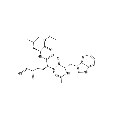 CC(=O)N[C@@H](Cc1c[nH]c2ccccc12)C(=O)N[C@@H](CCC(=O)C=N)C(=O)N[C@@H](CC(C)C)C(=O)OC(C)C